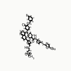 CC(C)(C)c1cnc(CSc2cnc(NC(=O)C3CCN(N(c4ccc(OCc5cccc(F)c5)c(Cl)c4)c4ncnc5ccc(-c6ccc(CNCCS(C)(=O)=O)o6)cc45)CC3)s2)o1